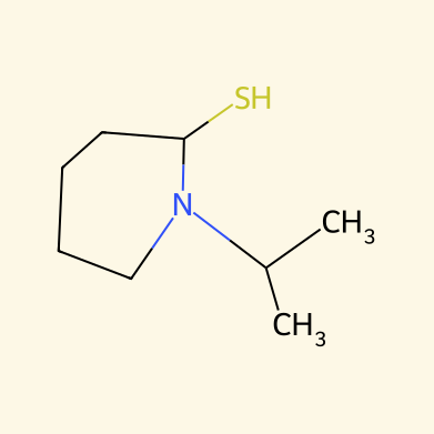 CC(C)N1CCCCC1S